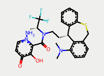 C[C@@H](N(CC[C@@H]1c2ccccc2SCc2cccc(N(C)C)c21)C(=O)c1c(O)c(=O)ccn1N)C(F)(F)F